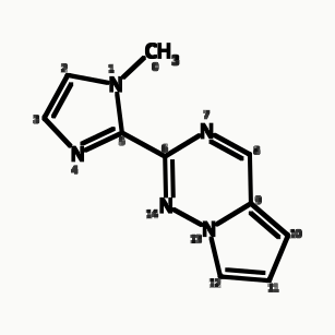 Cn1ccnc1-c1ncc2cccn2n1